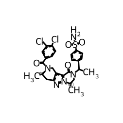 CC(c1ccc(S(N)(=O)=O)cc1)N1C[C@@H](C)n2nc3c(c2C1=O)CN(C(=O)c1ccc(Cl)c(Cl)c1)[C@H](C)C3